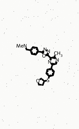 CNCc1ccc(-c2nnc(-c3nc(-c4ccc(SC5CCOC5)cc4)cnc3C)o2)cc1